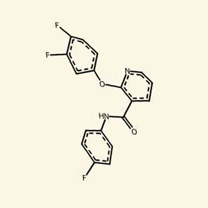 O=C(Nc1ccc(F)cc1)c1cccnc1Oc1ccc(F)c(F)c1